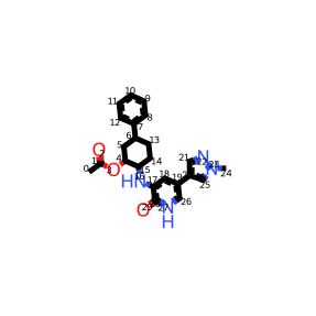 CC(=O)OC1CC(c2ccccc2)CCC1Nc1cc(-c2cnn(C)c2)c[nH]c1=O